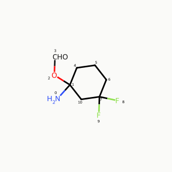 NC1(OC=O)CCCC(F)(F)C1